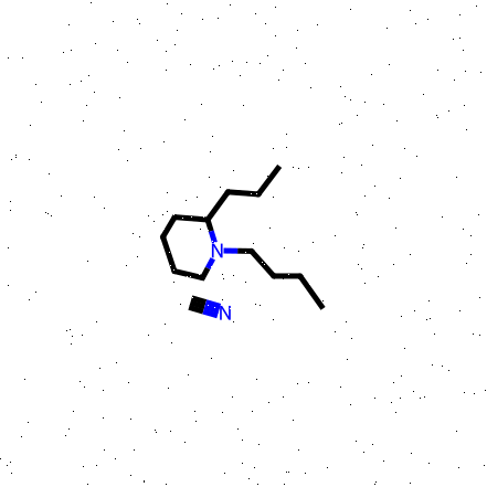 C#N.CCCCN1CCCCC1CCC